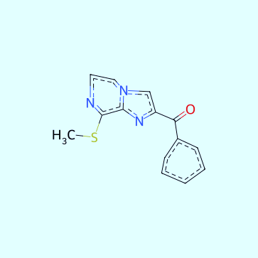 CSc1nccn2cc(C(=O)c3ccccc3)nc12